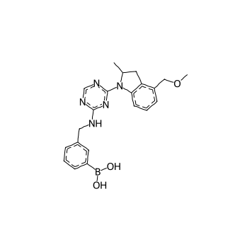 COCc1cccc2c1CC(C)N2c1ncnc(NCc2cccc(B(O)O)c2)n1